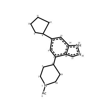 CC(=O)N1CCC(c2cc(C3CCCC3)cc3[nH]ncc23)CC1